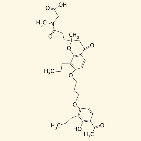 CCCc1c(OCCCOc2ccc3c(c2CCC)OC(C)(CCC(=O)N(C)CC(=O)O)CC3=O)ccc(C(C)=O)c1O